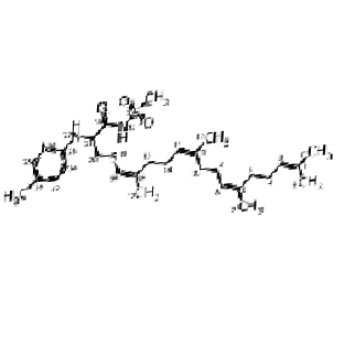 CC(C)=CCCC(C)=CCCC(C)=CCCC(C)=CSCC(Nc1ccc(C)cn1)C(=O)NS(C)(=O)=O